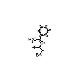 CC(OC(F)CBr)c1ccccc1